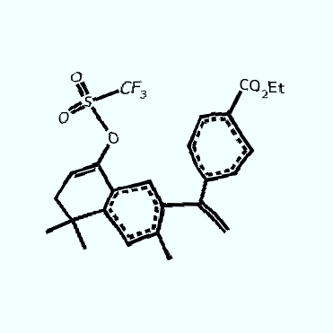 C=C(c1ccc(C(=O)OCC)cc1)c1cc2c(cc1C)C(C)(C)CC=C2OS(=O)(=O)C(F)(F)F